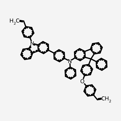 C=Cc1ccc(Oc2ccc(C3(c4ccccc4)c4ccccc4-c4ccc(N(c5ccccc5)c5ccc(-c6ccc7c(c6)c6ccccc6n7-c6ccc(C=C)cc6)cc5)cc43)cc2)cc1